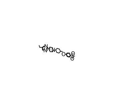 CCc1cnc(N2CCN(C3CCC(COc4ccc(S(C)(=O)=O)cc4)CC3)CC2)nc1